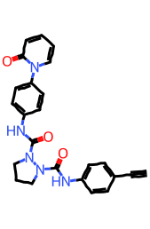 C#Cc1ccc(NC(=O)N2CCCN2C(=O)Nc2ccc(-n3ccccc3=O)cc2)cc1